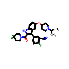 CC(C)N1CCC(Oc2ccc3[nH]c(C(=O)N4CCC(F)(F)CC4)c(-c4ccc(F)c(C#N)c4)c3c2)CC1